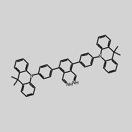 CC1(C)c2ccccc2N(c2ccc(-c3ccc(-c4ccc(N5c6ccccc6C(C)(C)c6ccccc65)cc4)c(C=N)c3C=N)cc2)c2ccccc21